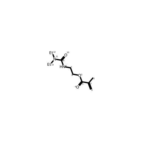 C=C(C)C(=O)OCCNC(=O)N(CC)CC